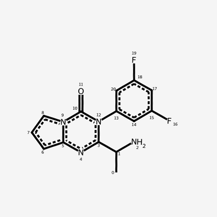 CC(N)c1nc2cccn2c(=O)n1-c1cc(F)cc(F)c1